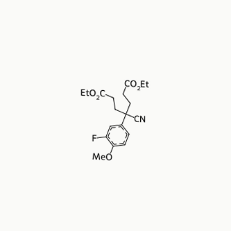 CCOC(=O)CCC(C#N)(CCC(=O)OCC)c1ccc(OC)c(F)c1